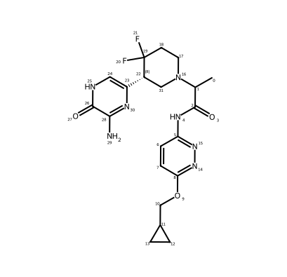 CC(C(=O)Nc1ccc(OCC2CC2)nn1)N1CCC(F)(F)[C@@H](c2c[nH]c(=O)c(N)n2)C1